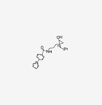 CC(C)C[C@]1(CCCNC(=O)c2ccc(-n3cccc3)cc2)CC1O